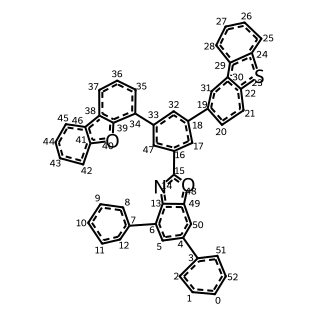 c1ccc(-c2cc(-c3ccccc3)c3nc(-c4cc(-c5ccc6sc7ccccc7c6c5)cc(-c5cccc6c5oc5ccccc56)c4)oc3c2)cc1